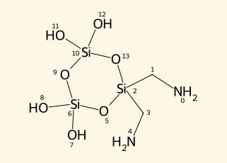 NC[Si]1(CN)O[Si](O)(O)O[Si](O)(O)O1